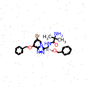 CC(C)(N)C(=O)N[C@H](COCc1ccccc1)c1nnc2c(OCc3ccccc3)cc(Br)cn12